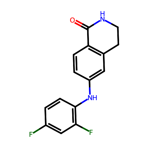 O=C1NCCc2cc(Nc3ccc(F)cc3F)ccc21